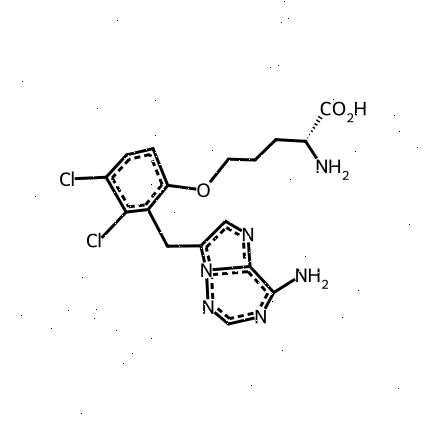 Nc1ncnn2c(Cc3c(OCCC[C@@H](N)C(=O)O)ccc(Cl)c3Cl)cnc12